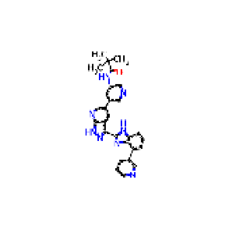 CC(C)(C)C(=O)Nc1cncc(-c2cnc3[nH]nc(-c4nc5c(-c6cccnc6)cccc5[nH]4)c3c2)c1